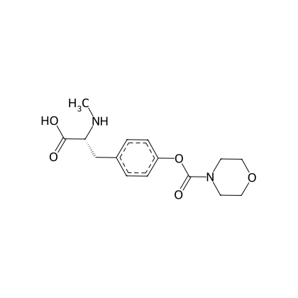 CN[C@H](Cc1ccc(OC(=O)N2CCOCC2)cc1)C(=O)O